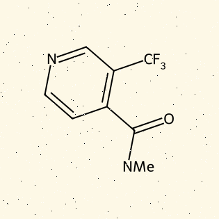 CNC(=O)c1ccncc1C(F)(F)F